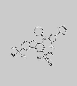 CC1C=C(c2ccco2)C=[C]1[Zr+2](=[C]1CCCCC1)[c]1cc(C(C)(C)C)cc2c1Cc1ccc(C(C)(C)C)cc1-2.[Cl-].[Cl-]